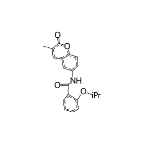 Cc1cc2cc(NC(=O)c3ccccc3OC(C)C)ccc2oc1=O